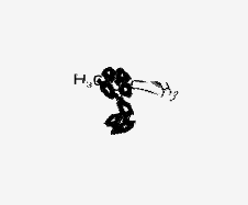 Cc1ccc2c(c1)[Si](c1ccccc1)(c1ccccc1)c1cc(C)ccc1N2c1ccc2c(c1)c1cccc3c4ccccc4n2c31